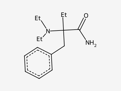 CCN(CC)C(CC)(Cc1ccccc1)C(N)=O